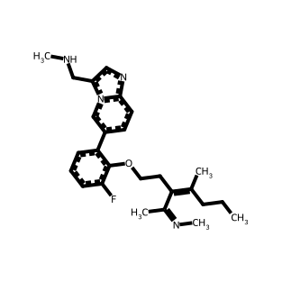 CCC/C(C)=C(CCOc1c(F)cccc1-c1ccc2ncc(CNC)n2c1)\C(C)=N/C